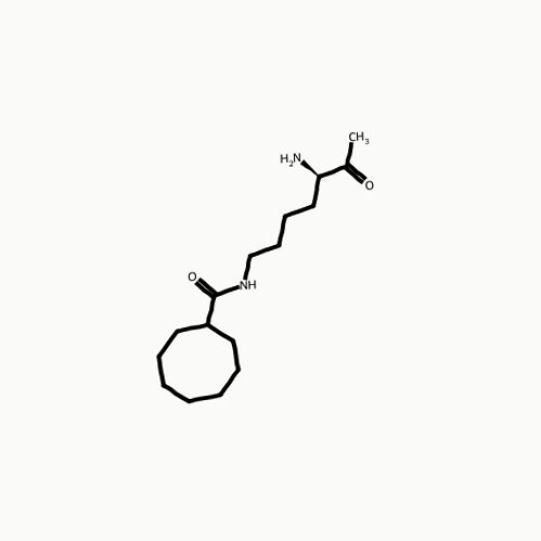 CC(=O)[C@H](N)CCCCNC(=O)C1CCCCCCC1